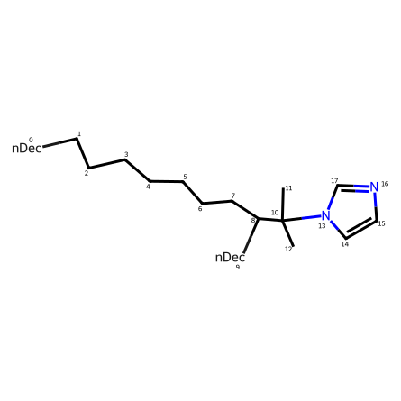 CCCCCCCCCCCCCCCCCC(CCCCCCCCCC)C(C)(C)n1ccnc1